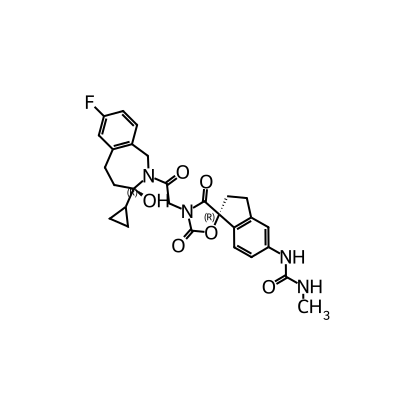 CNC(=O)Nc1ccc2c(c1)CC[C@@]21OC(=O)N(CC(=O)N2Cc3ccc(F)cc3CC[C@@]2(O)C2CC2)C1=O